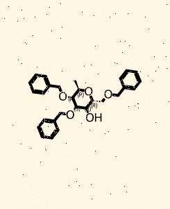 C[C@H]1O[C@H](COCc2ccccc2)[C@@H](O)[C@H](OCc2ccccc2)[C@@H]1OCc1ccccc1